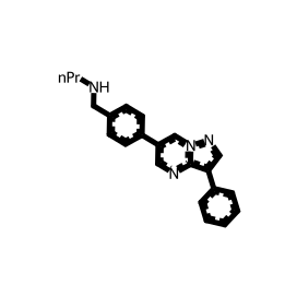 CCCNCc1ccc(-c2cnc3c(-c4ccccc4)cnn3c2)cc1